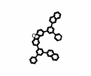 C1=CC(c2cc(-c3ccc4ccccc4c3)cc(-c3ccc4oc5ccc(-c6cc(-c7ccccc7)cc(-c7ccc8ccccc8c7)c6)cc5c4c3)c2)=CCC1